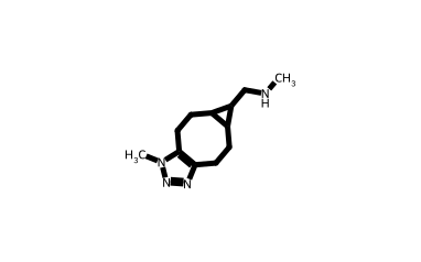 CNCC1C2CCc3nnn(C)c3CCC21